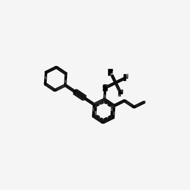 CCCc1cccc(C#CC2CCCCC2)c1SC(F)(F)F